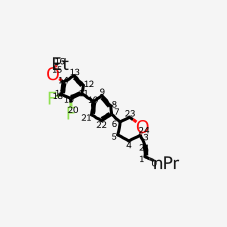 CCC/C=C/C1CCC(c2ccc(-c3ccc(OCC)c(F)c3F)cc2)CO1